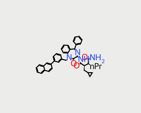 CCC[C@H](C(N)=O)[C@@H](CC1CC1)C(=O)NC1N=C(c2ccccc2)c2ccccc2N(Cc2cccc(-c3ccc4ccccc4c3)c2)C1=O